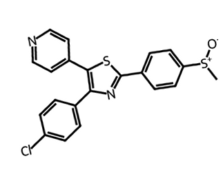 C[S+]([O-])c1ccc(-c2nc(-c3ccc(Cl)cc3)c(-c3ccncc3)s2)cc1